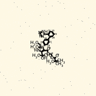 CCC1(C)NC(C(C)(C)O)=C(C(=O)OCOC(=O)C(C)(C)C)N1c1ccc(-c2ccccc2-c2nnn[nH]2)cc1